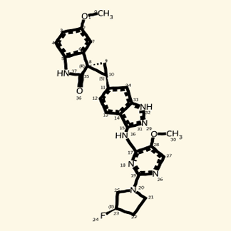 COc1ccc2c(c1)[C@]1(C[C@H]1c1ccc3c(Nc4nc(N5CC[C@@H](F)C5)ncc4OC)n[nH]c3c1)C(=O)N2